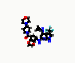 O=C(c1ccc(Nc2cc(NC3CC3)c3c(C(F)(F)F)c[nH]c3n2)c2c1OCCO2)N1CCC(N2CCOCC2)CC1